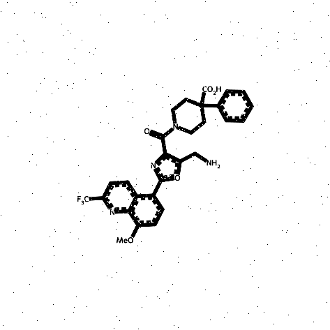 COc1ccc(-c2nc(C(=O)N3CCC(C(=O)O)(c4ccccc4)CC3)c(CN)o2)c2ccc(C(F)(F)F)nc12